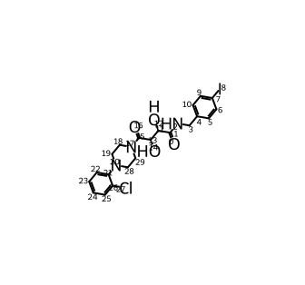 O=C(NCc1ccc(I)cc1)[C@H](O)[C@@H](O)C(=O)N1CCN(c2ccccc2Cl)CC1